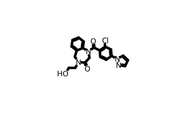 O=C1CN(C(=O)c2ccc(-n3cccn3)cc2Cl)c2ccccc2CN1CCO